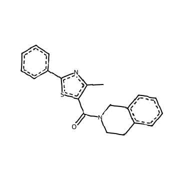 Cc1nc(-c2ccccc2)sc1C(=O)N1CCc2ccccc2C1